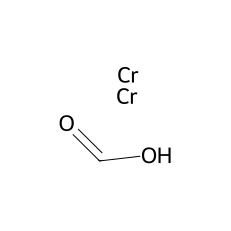 O=CO.[Cr].[Cr]